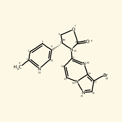 Cc1ccc([C@@H]2COC(=O)N2c2ccn3ncc(Br)c3n2)cn1